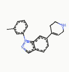 Cc1cccc(-n2ncc3ccc(C4=CCNCC4)cc32)c1